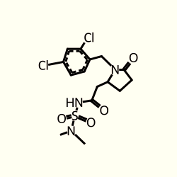 CN(C)S(=O)(=O)NC(=O)CC1CCC(=O)N1Cc1ccc(Cl)cc1Cl